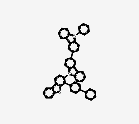 c1ccc(-c2ccc(-c3c(-n4c5ccccc5c5cc(-c6ccc7c(c6)c6ccccc6n7-c6ccccc6)ccc54)ccc4c3sc3ccccc34)cc2)cc1